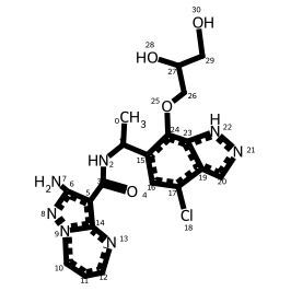 CC(NC(=O)c1c(N)nn2cccnc12)c1cc(Cl)c2cn[nH]c2c1OCC(O)CO